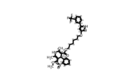 COC(=O)C1=C(C)NC(C)=C(C(=O)OCCCCCCOc2cc(-c3cccc(C(F)(F)F)c3)[nH]n2)C1c1ccccc1[N+](=O)[O-]